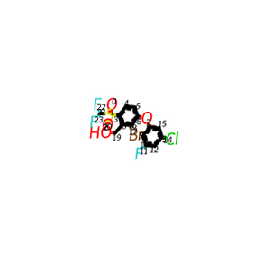 O=S(=O)(c1ccc(Oc2cc(F)cc(Cl)c2)c(Br)c1CO)C(F)F